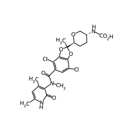 Cc1cc(C)c(N(C)C(=O)c2cc(Cl)c3c(c2Cl)OC(C)([C@@H]2CC[C@@H](NC(=O)O)CO2)O3)c(=O)[nH]1